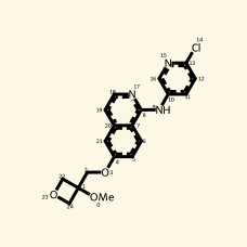 COC1(COc2ccc3c(Nc4ccc(Cl)nc4)nccc3c2)COC1